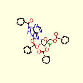 O=C(Nc1ncnc2c1ncn2[C@@H]1O[C@](F)(COC(=O)c2ccccc2)[C@@H](OC(=O)c2ccccc2)[C@H]1OC(=O)c1ccccc1)c1ccccc1